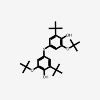 CC(C)(C)Oc1cc(Sc2cc(OC(C)(C)C)c(O)c(C(C)(C)C)c2)cc(C(C)(C)C)c1O